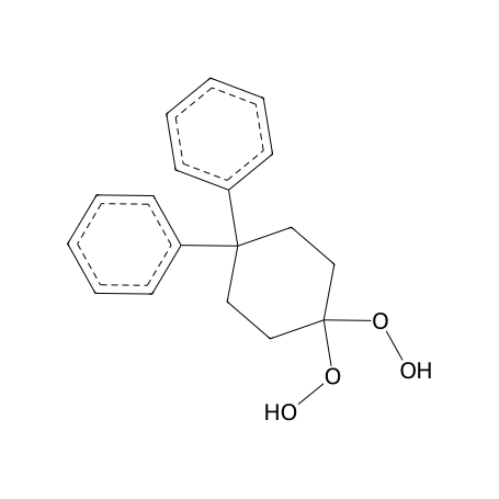 OOC1(OO)CCC(c2ccccc2)(c2ccccc2)CC1